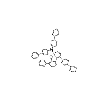 c1ccc(-c2ccc(-c3ccc(N(c4ccc(-c5ccccc5)cc4)c4ccc(-c5ccccc5)cc4)c4oc5c(-c6ccccc6)cccc5c34)cc2)cc1